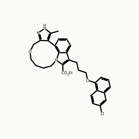 CCOC(=O)c1c(CCCOc2cccc3cc(Cl)ccc23)c2cccc3c2n1CCCCOCc1n[nH]c(C)c1-3